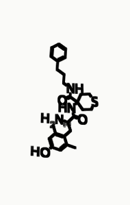 Cc1cc(O)cc(C)c1C[C@@H](N)C(=O)NC1(C(=O)NCCCc2ccccc2)CCSCC1